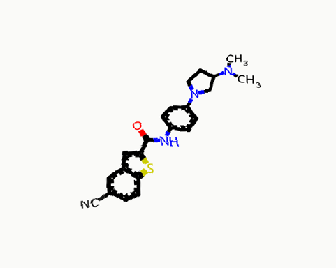 CN(C)C1CCN(c2ccc(NC(=O)c3cc4cc(C#N)ccc4s3)cc2)C1